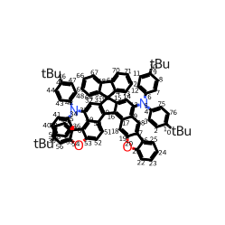 CC(C)(C)c1ccc(N(c2ccc(C(C)(C)C)cc2)c2cc3c(c4cc5oc6ccccc6c5cc24)-c2c(cc(N(c4ccc(C(C)(C)C)cc4)c4ccc(C(C)(C)C)cc4)c4c2ccc2oc5ccccc5c24)C32c3ccccc3-c3ccccc32)cc1